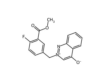 COC(=O)c1cc(C[n+]2cc([O-])c3ccccc3n2)ccc1F